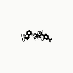 COc1cc(C(C)C)ccc1C(C)C(C)C(O)(/C=N/c1cccc2[nH]c(=O)ccc12)C(F)(F)F